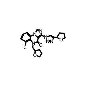 O=c1c2c(-n3cc(C4CCCO4)nn3)ncn2c2cccc(Cl)c2n1CC1CCCO1